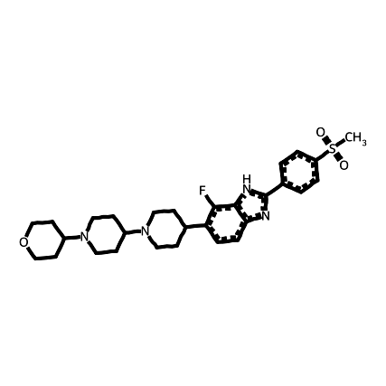 CS(=O)(=O)c1ccc(-c2nc3ccc(C4CCN(C5CCN(C6CCOCC6)CC5)CC4)c(F)c3[nH]2)cc1